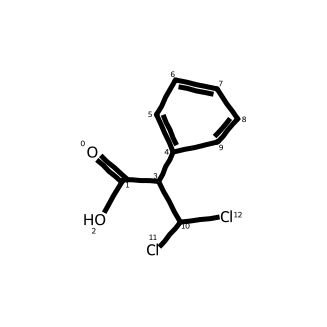 O=C(O)C(c1ccccc1)C(Cl)Cl